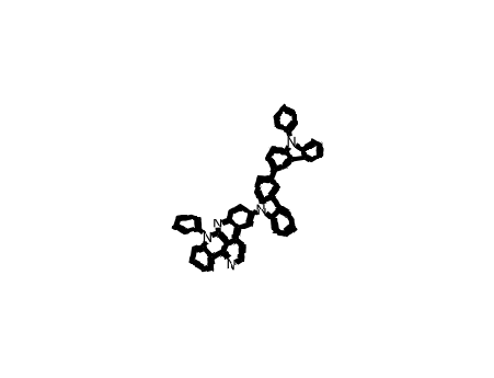 c1ccc(N2c3ccccc3-c3nccc4c3c2nc2ccc(-n3c5ccccc5c5cc(-c6ccc7c(c6)c6ccccc6n7-c6ccccc6)ccc53)cc24)cc1